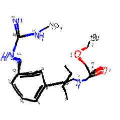 CC(C)(C)OC(=O)NC(C)(C)c1cccc(NC(=N)N[N+](=O)[O-])c1